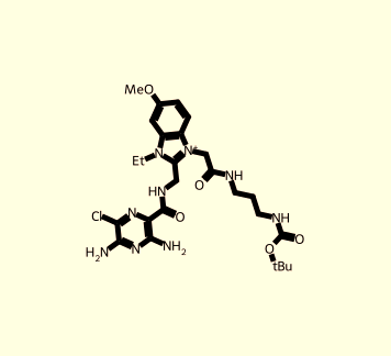 CCn1c(CNC(=O)c2nc(Cl)c(N)nc2N)[n+](CC(=O)NCCCNC(=O)OC(C)(C)C)c2ccc(OC)cc21